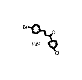 Br.O=C(/C=C/c1ccc(Br)cc1)c1ccc(Cl)cc1